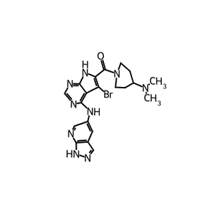 CN(C)C1CCN(C(=O)c2[nH]c3ncnc(Nc4cnc5[nH]ncc5c4)c3c2Br)CC1